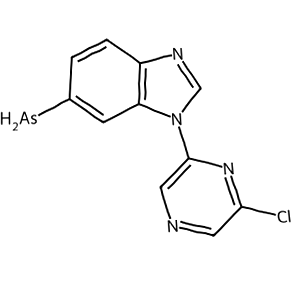 Clc1cncc(-n2cnc3ccc([AsH2])cc32)n1